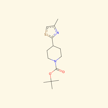 Cc1csc(C2CCN(C(=O)OC(C)(C)C)CC2)n1